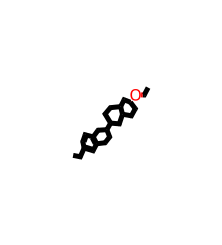 CCOC1CCC2CC(C3CCc4cc(CC)ccc4C3)CCC2C1